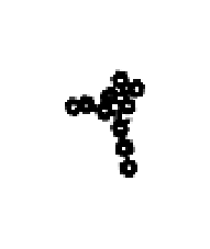 Cc1cc(-c2ccc(-c3ccccc3)cc2)ccc1N(c1ccc(-c2ccc3ccccc3c2)cc1)c1cccc2c1-c1ccccc1C2(c1ccccc1)c1ccccc1